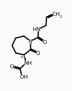 C=CCNC(=O)N1CCCC[C@H](NC(=O)O)C1=O